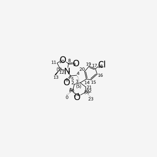 C[C@@H]1C[C@@](CC(=O)N2C(=O)OC[C@@H]2C)(c2ccc(Cl)cc2)C[C@H](C)O1